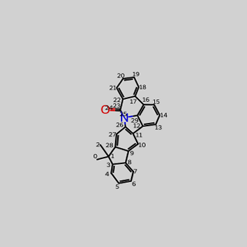 CC1(C)c2ccccc2-c2cc3c4cccc5c6ccccc6c(=O)n(c3cc21)c54